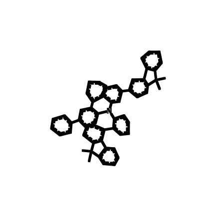 CC1(C)c2ccccc2-c2cc(-c3cccc(N(c4ccc(-c5ccccc5)cc4-c4ccccc4)c4ccccc4-c4cccc5c4-c4ccccc4C5(C)C)c3)ccc21